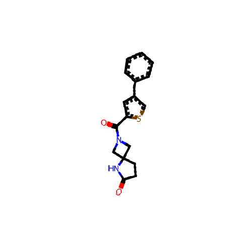 O=C1CCC2(CN(C(=O)c3cc(-c4ccccc4)cs3)C2)N1